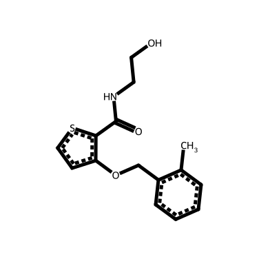 Cc1ccccc1COc1ccsc1C(=O)NCCO